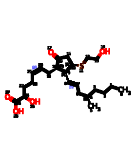 CCCC[C@H](C)C/C=C/[C@H]1[C@@H](SCCO)CC(=O)[C@@H]1C/C=C\CCC(O)C(=O)O